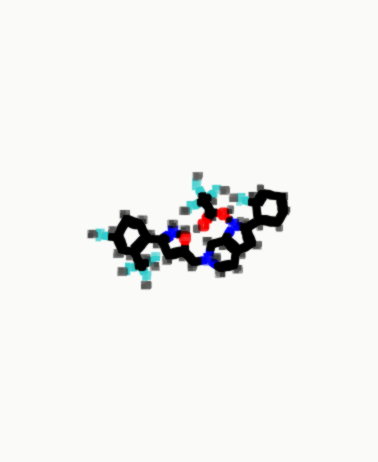 O=C(On1c(-c2ccccc2F)cc2c1CN(Cc1cc(-c3ccc(F)cc3C(F)(F)F)no1)C=C2)C(F)(F)F